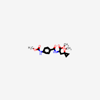 COC(=O)Nc1ccc(C(=O)NC(CC2(OC)CC2)C(=O)OC)cc1